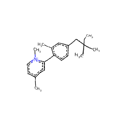 Cc1cc[n+](C)c(-c2ccc(CC(C)(C)C)cc2C)c1